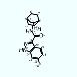 O=C(N[C@H]1CC2CCC1CC2)c1n[nH]c2cc(F)ccc12